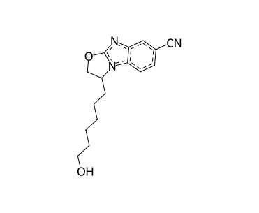 N#Cc1ccc2c(c1)nc1n2C(CCCCCCO)CO1